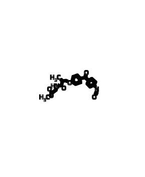 COC(=O)CNC(=O)C(C)COc1ccc(C(=O)c2ccc(N=C=O)cc2)cc1